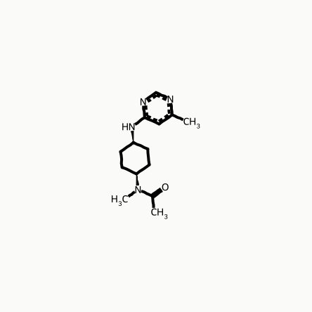 CC(=O)N(C)[C@H]1CC[C@@H](Nc2cc(C)ncn2)CC1